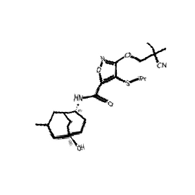 CC1CC2C[C@](O)(CC[C@H]2NC(=O)c2onc(OCC(C)(C)C#N)c2SC(C)C)C1